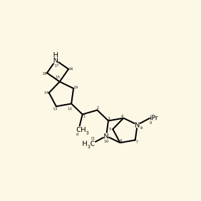 CC(CC1C2CC(CN2C(C)C)N1C)C1CCC2(CNC2)C1